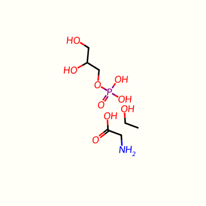 CCO.NCC(=O)O.O=P(O)(O)OCC(O)CO